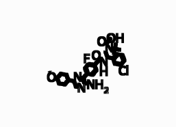 COC1CCC(c2cnc(N)c(-c3ccc(C(=O)NC(CN(C(=O)O)C(C)(C)C)c4cccc(Cl)c4)c(F)c3)n2)CC1